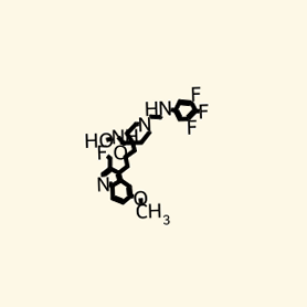 COc1ccc2ncc(CF)c(CCCC3(C(=O)NO)CCN(CCNc4cc(F)c(F)c(F)c4)CC3)c2c1